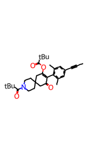 CC#Cc1cc(C)c(C2=C(OC(=O)C(C)(C)C)CC3(CCN(C(=O)C(C)(C)C)CC3)CC2=O)c(C)c1